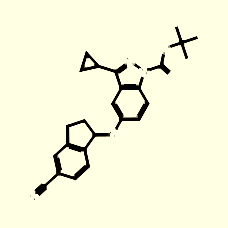 CC(C)(C)OC(=O)n1nc(C2CC2)c2cc(NC3CCc4cc(C#N)ccc43)ccc21